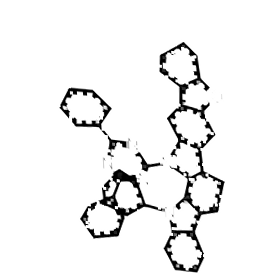 c1ccc(-c2nc(-c3ccccc3)nc(-n3c4cc5c(cc4c4ccc6c7ccccc7n(-c7ccccc7)c6c43)oc3ccccc35)n2)cc1